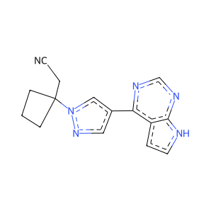 N#CCC1(n2cc(-c3ncnc4[nH]ccc34)cn2)CCC1